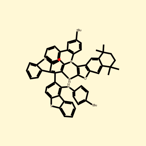 CC(C)(C)c1ccc(Nc2c(-c3c4c(cc5oc6ccccc6c35)N(c3ccc(C(C)(C)C)cc3-c3ccccc3)c3c(oc5cc6c(cc35)C(C)(C)CCC6(C)C)B4)ccc3sc4ccccc4c23)cc1